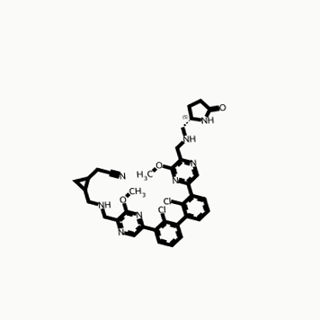 COc1nc(-c2cccc(-c3cccc(-c4cnc(CNC[C@@H]5CCC(=O)N5)c(OC)n4)c3Cl)c2Cl)cnc1CNCC1CC1CC#N